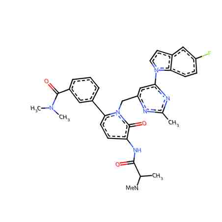 CNC(C)C(=O)Nc1ccc(-c2cccc(C(=O)N(C)C)c2)n(Cc2cc(-n3ccc4cc(F)ccc43)nc(C)n2)c1=O